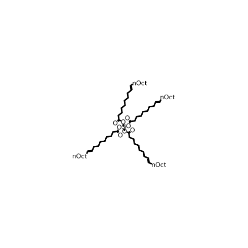 CCCCCCCCC=CCCCCCCCC(=O)O[Si](OC(=O)CCCCCCCC=CCCCCCCCC)(OC(=O)CCCCCCCC=CCCCCCCCC)OC(=O)CCCCCCCC=CCCCCCCCC